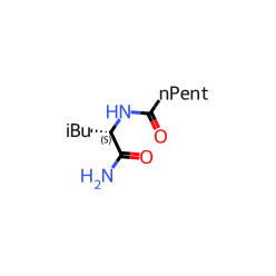 CCCCCC(=O)N[C@H](C(N)=O)C(C)CC